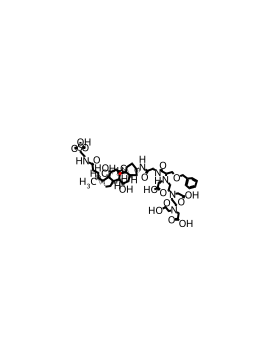 C[C@H](CCC(=O)NCCS(=O)(=O)O)[C@H]1CC[C@H]2[C@@H]3[C@H](O)C[C@@H]4C[C@@H](NC(=O)CNC(=O)C(COCc5ccccc5)N(CCN(CCN(CC(=O)O)CC(=O)O)CC(=O)O)CC(=O)O)CC[C@]4(C)[C@H]3C[C@H](O)[C@]12C